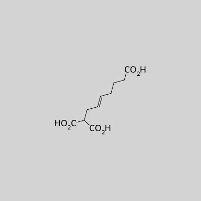 O=C(O)CCCC=CCC(C(=O)O)C(=O)O